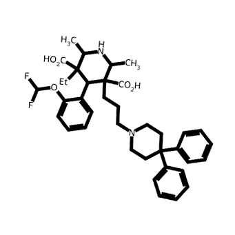 CCC1(C(=O)O)C(C)NC(C)C(CCCN2CCC(c3ccccc3)(c3ccccc3)CC2)(C(=O)O)C1c1ccccc1OC(F)F